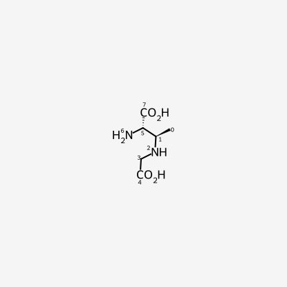 C[C@@H](NCC(=O)O)[C@H](N)C(=O)O